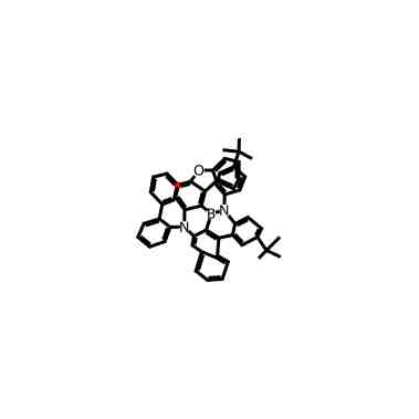 CC(C)(C)c1ccc(N2B3c4c(cc5ccccc5c4-c4cc(C(C)(C)C)ccc42)N(c2ccccc2-c2ccccc2)c2ccc4oc5ccccc5c4c23)cc1